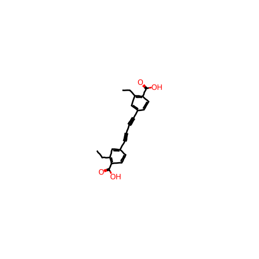 CCc1cc(C#CC#Cc2ccc(C(=O)O)c(CC)c2)ccc1C(=O)O